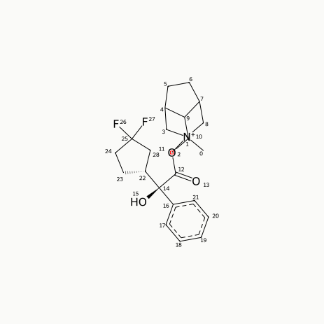 C[N+]1(C)CC2CCC(C1)C2COC(=O)[C@](O)(c1ccccc1)[C@@H]1CCC(F)(F)C1